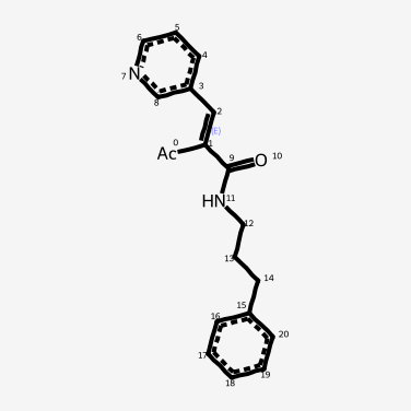 CC(=O)/C(=C\c1cccnc1)C(=O)NCCCc1ccccc1